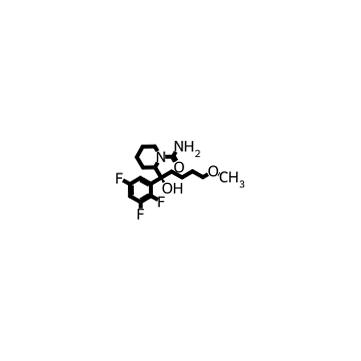 COCCCC[C@](O)(c1cc(F)cc(F)c1F)C1CCCCN1C(N)=O